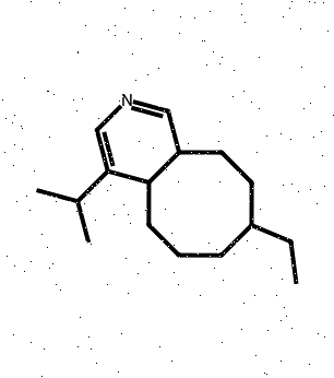 CCC1CCCC2C(C(C)C)=CN=CC2CC1